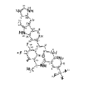 CC(NC(=O)c1cc(C(F)(F)F)cnc1NC/C=C/c1ccc2c(c1)NC(=O)/C2=C\c1cnc[nH]1)c1ccc(F)c(F)c1